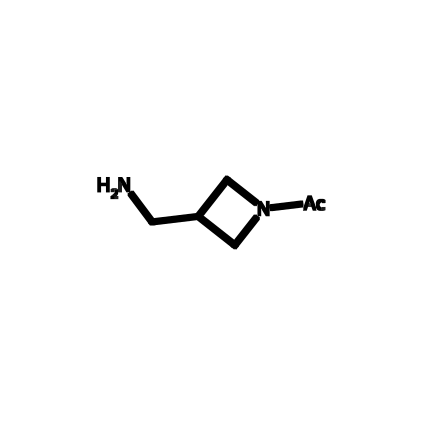 CC(=O)N1CC(CN)C1